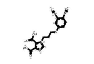 [C-]#[N+]c1ccc(SCCCn2cnc(C(=O)O)c2C(=O)O)cc1[N+]#[C-]